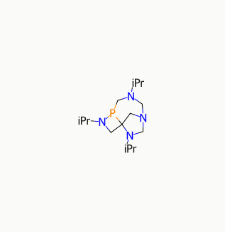 CC(C)N1CN2CN(C(C)C)C3(C2)CN(C(C)C)P3C1